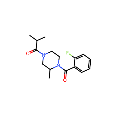 CC(C)C(=O)N1CCN(C(=O)c2ccccc2F)C(C)C1